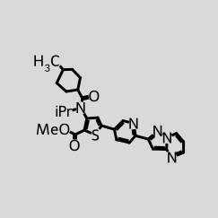 COC(=O)c1sc(-c2ccc(-c3cc4ncccn4n3)nc2)cc1N(C(=O)C1CCC(C)CC1)C(C)C